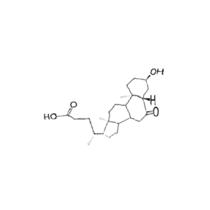 C[C@H](CCC(=O)O)[C@H]1CCC2C3CC(=O)[C@H]4C[C@H](O)CC[C@]4(C)C3CC[C@@]21C